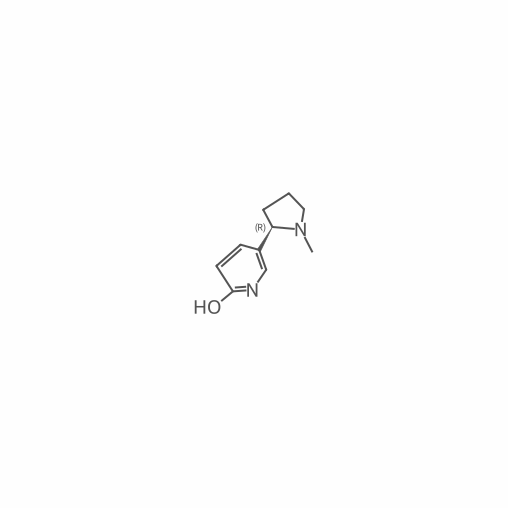 CN1CCC[C@@H]1c1ccc(O)nc1